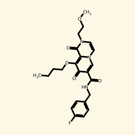 CCCCOc1c(=O)c(C(=O)NCc2ccc(F)cc2)cn2ccn(CCOC)c(=O)c12